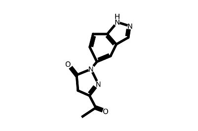 CC(=O)C1=NN(c2ccc3[nH]ncc3c2)C(=O)C1